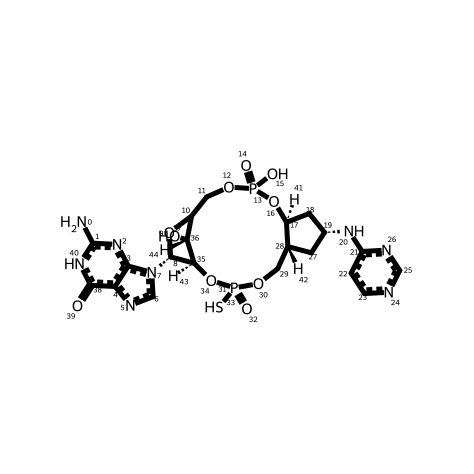 Nc1nc2c(ncn2[C@@H]2OC3COP(=O)(O)O[C@H]4C[C@H](Nc5ccncn5)C[C@@H]4COP(=O)(S)O[C@@H]2[C@@H]3O)c(=O)[nH]1